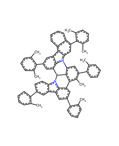 Cc1ccccc1-c1ccc2c(c1)c1cc(-c3ccccc3C)cc3c1n2B1c2c(cc(-c4ccccc4C)c(C)c2-3)-n2c3cc(-c4c(C)cccc4C)c4ccccc4c3c3cc(-c4c(C)cccc4C)cc1c32